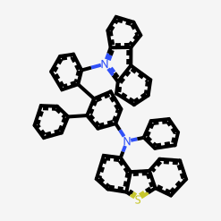 c1ccc(-c2cc(N(c3ccccc3)c3cccc4sc5ccccc5c34)ccc2-c2ccccc2-n2c3ccccc3c3ccccc32)cc1